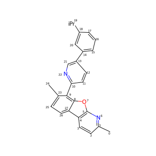 Cc1ccc2c(n1)oc1c(-c3ccc(-c4cccc(C(C)C)c4)cn3)c(C)ccc12